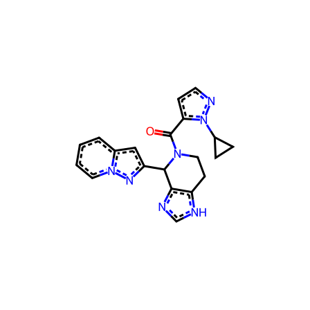 O=C(c1ccnn1C1CC1)N1CCc2[nH]cnc2C1c1cc2ccccn2n1